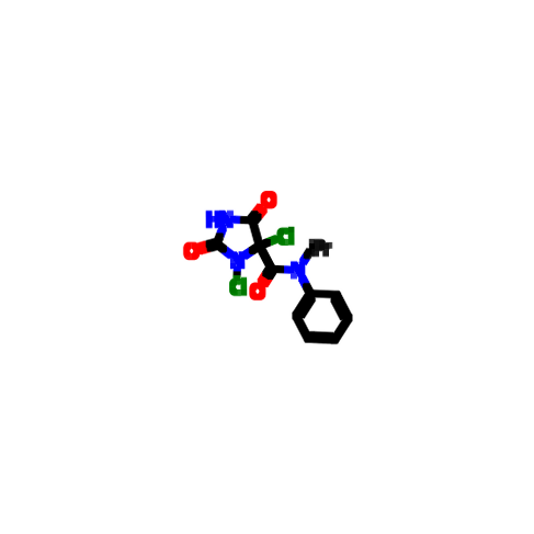 CC(C)N(C(=O)C1(Cl)C(=O)NC(=O)N1Cl)c1ccccc1